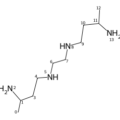 CC(N)CCNCCNCCC(C)N